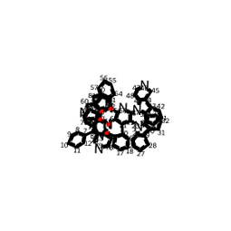 c1ccc(-c2nc(-c3ccccc3)nc(-c3ccccc3-c3c(-n4c5ccccc5c5ccccc54)c(-n4c5ccccc5c5cnccc54)nc(-n4c5ccccc5c5cnccc54)c3-n3c4ccccc4c4cnccc43)n2)cc1